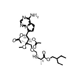 CCC(CC)COC(=O)[C@H](C)NCOC[C@@](C)(OC)[C@@H](OC(C)=O)[C@@H](OC(C)=O)c1ccc2c(N)ncnn12